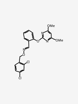 COc1cc(OC)nc(Oc2ccccc2C=NOCc2ccc(Cl)cc2Cl)n1